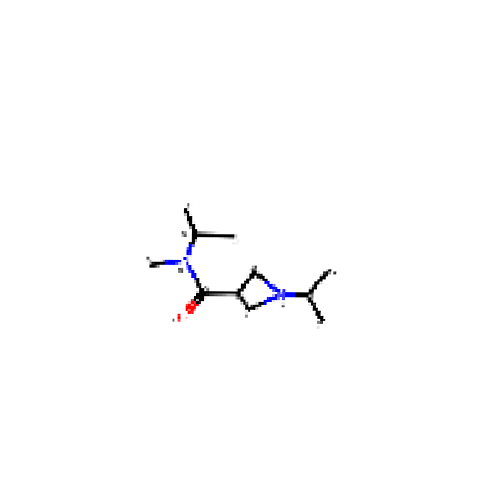 CC(C)N1CC(C(=O)N(C)C(C)C)C1